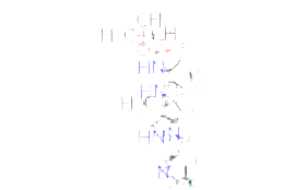 CC(C)(C)OC(=O)Nc1ccccc1NC1(C)C=CC2=C1CNN2Cc1cncc(F)c1